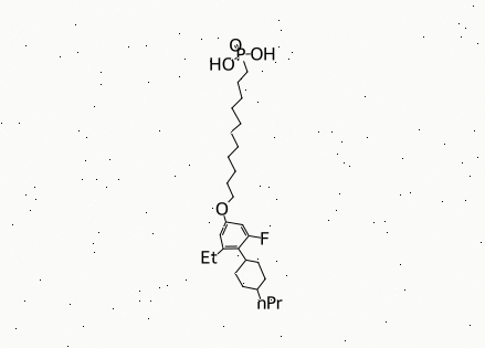 CCCC1CCC(c2c(F)cc(OCCCCCCCCCCCP(=O)(O)O)cc2CC)CC1